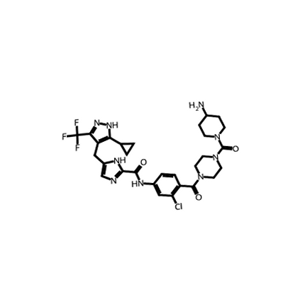 NC1CCN(C(=O)N2CCN(C(=O)c3ccc(NC(=O)c4ncc(Cc5c(C(F)(F)F)n[nH]c5C5CC5)[nH]4)cc3Cl)CC2)CC1